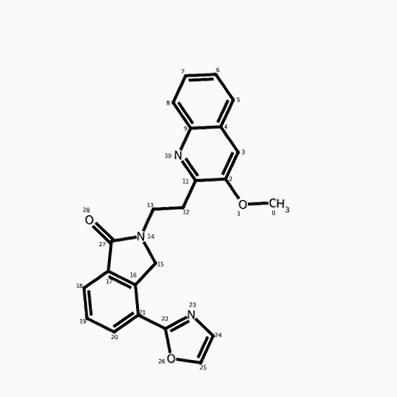 COc1cc2ccccc2nc1CCN1Cc2c(cccc2-c2ncco2)C1=O